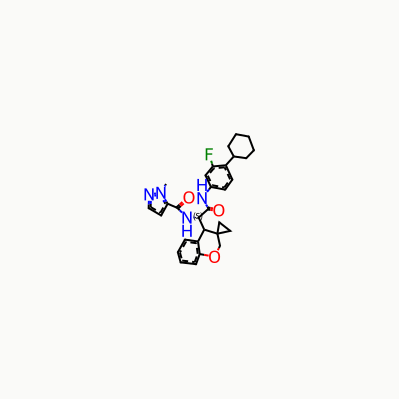 Cn1nccc1C(=O)N[C@H](C(=O)Nc1ccc(C2CCCCC2)c(F)c1)C1c2ccccc2OCC12CC2